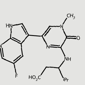 CC(C)C(CC(=O)O)Nc1nc(-c2c[nH]c3ncc(F)cc23)cn(C)c1=O